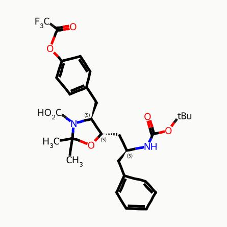 CC(C)(C)OC(=O)N[C@@H](Cc1ccccc1)C[C@@H]1OC(C)(C)N(C(=O)O)[C@H]1Cc1ccc(OC(=O)C(F)(F)F)cc1